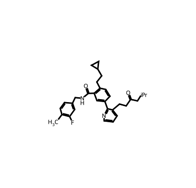 Cc1ccc(CNC(=O)c2cc(-c3ncccc3CCC(=O)CC(C)C)ccc2CCC2CC2)cc1F